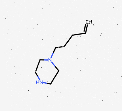 C=CCCCN1CCNCC1